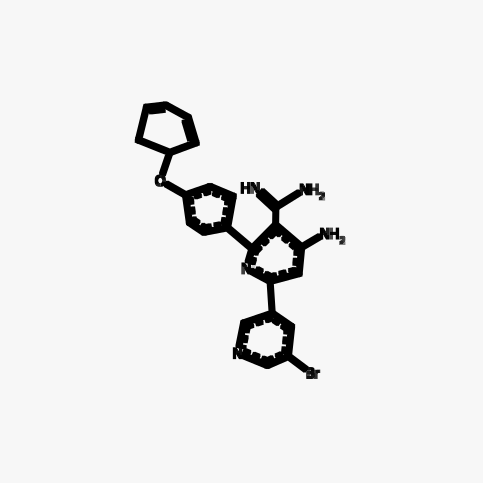 N=C(N)c1c(N)cc(-c2cncc(Br)c2)nc1-c1ccc(OC2C=CC=CC2)cc1